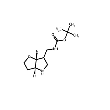 CC(C)(C)OC(=O)NCC1CN[C@@H]2CCO[C@H]12